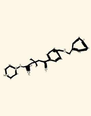 CC(C)(CC(=O)c1ccc(OCc2ccccc2)cc1)C(=O)ON1CCNCC1